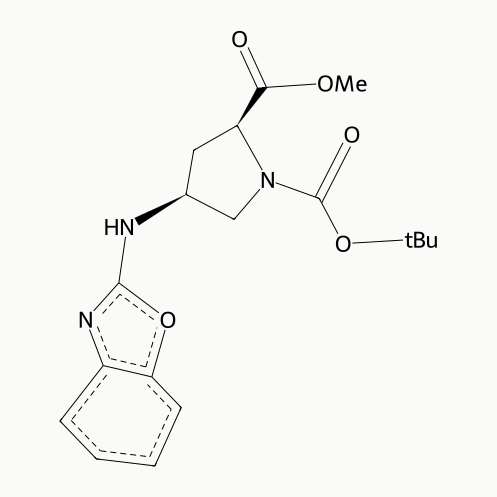 COC(=O)[C@@H]1C[C@H](Nc2nc3ccccc3o2)CN1C(=O)OC(C)(C)C